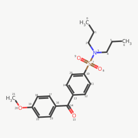 CCCN(CCC)S(=O)(=O)c1ccc(C(=O)c2ccc(OC)cc2)cc1